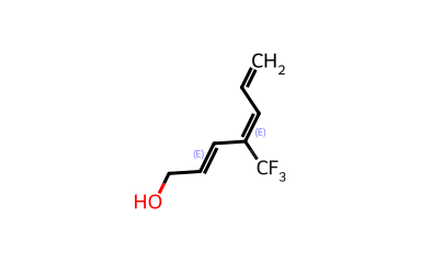 C=C/C=C(\C=C\CO)C(F)(F)F